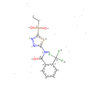 CCS(=O)(=O)c1nnc(NC(=O)c2ccccc2C(F)(F)F)s1